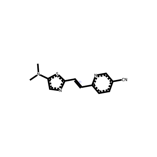 CN(C)c1cnc(/C=C/c2ccc(C#N)cn2)s1